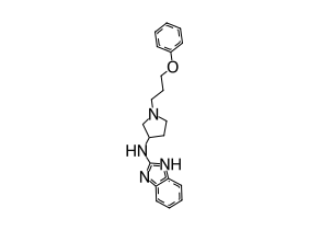 c1ccc(OCCCN2CCC(Nc3nc4ccccc4[nH]3)C2)cc1